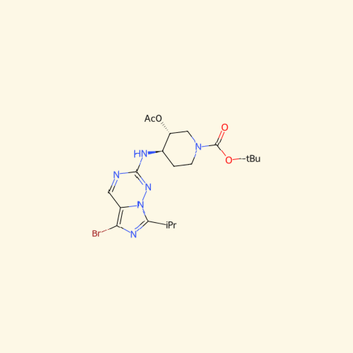 CC(=O)O[C@@H]1CN(C(=O)OC(C)(C)C)CC[C@H]1Nc1ncc2c(Br)nc(C(C)C)n2n1